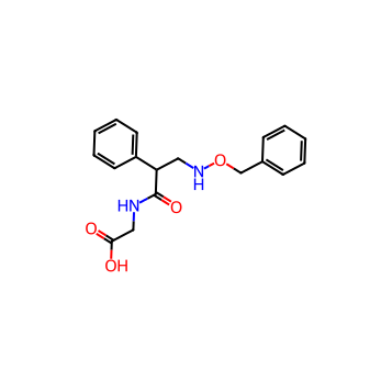 O=C(O)CNC(=O)C(CNOCc1ccccc1)c1ccccc1